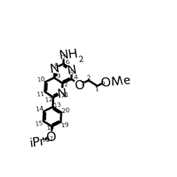 COCCOc1nc(N)nc2ccc(-c3ccc(OC(C)C)cc3)nc12